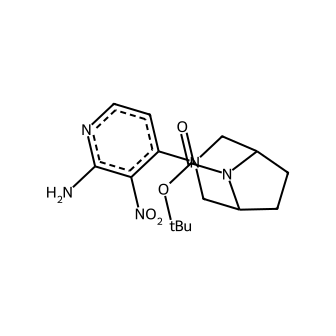 CC(C)(C)OC(=O)N1C2CCC1CN(c1ccnc(N)c1[N+](=O)[O-])C2